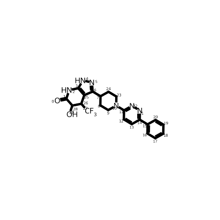 O=C1Nc2[nH]nc(C3CCN(c4ccc(-c5ccccc5)nn4)CC3)c2C(C(F)(F)F)C1O